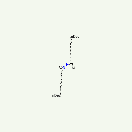 CCCCCCCCCCCCCCCCCCCCCCCC=CCCc1ccccc1N=CC=Nc1ccccc1CCC=CCCCCCCCCCCCCCCCCCCCCCCC.[Ni]